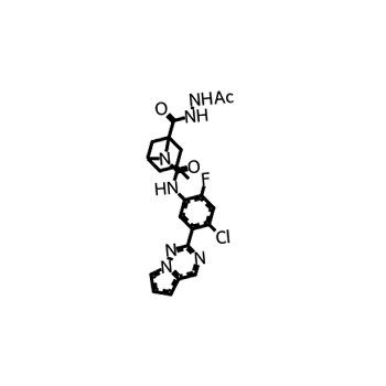 CC(=O)NNC(=O)C12CC(C)CC(C1)N2C(=O)Nc1cc(-c2ncc3cccn3n2)c(Cl)cc1F